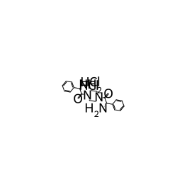 Cl.Cl.N[C@H](C(=O)N1CCN(C(=O)[C@@H](N)c2ccccc2)CC1)c1ccccc1